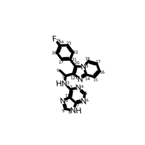 CC(Nc1ncnc2[nH]cnc12)c1nc2ccccn2c1-c1ccc(F)cc1